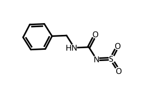 O=C(N=S(=O)=O)NCc1ccccc1